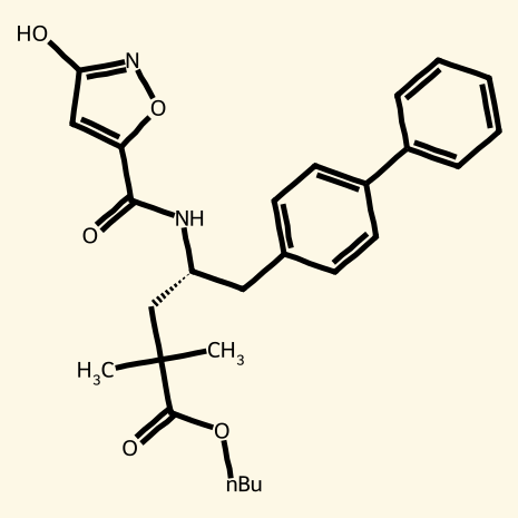 CCCCOC(=O)C(C)(C)C[C@@H](Cc1ccc(-c2ccccc2)cc1)NC(=O)c1cc(O)no1